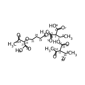 CCC(C(C)=O)C(=O)O.CCC(C(C)=O)C(=O)O.CCCCOC(C(C)=O)C(=O)O.[Zr]